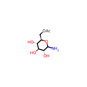 CC(=O)OC[C@H]1OC(N)[C@H](O)[C@@H](O)[C@@H]1O